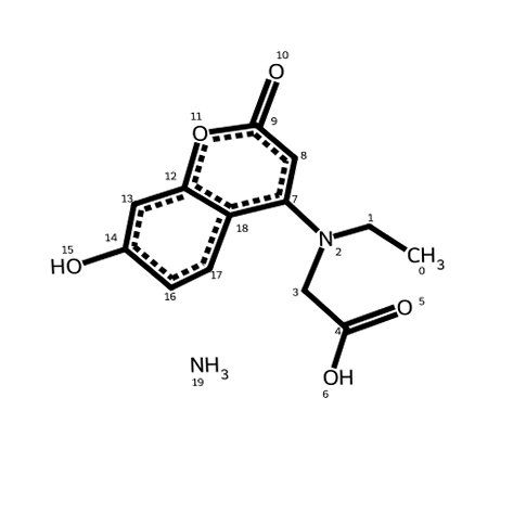 CCN(CC(=O)O)c1cc(=O)oc2cc(O)ccc12.N